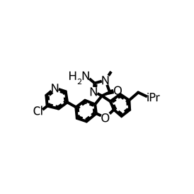 CC(C)Cc1ccc2c(c1)C1(N=C(N)N(C)C1=O)c1cc(-c3cncc(Cl)c3)ccc1O2